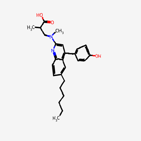 CCCCCCc1ccc2nc(N(C)CC(C)C(=O)O)cc(-c3ccc(O)cc3)c2c1